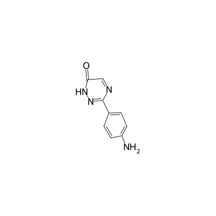 Nc1ccc(-c2ncc(=O)[nH]n2)cc1